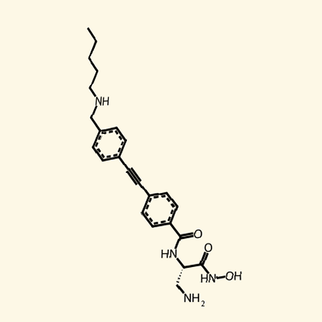 CCCCCNCc1ccc(C#Cc2ccc(C(=O)N[C@@H](CN)C(=O)NO)cc2)cc1